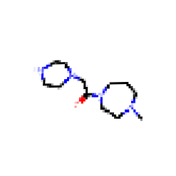 CN1CCCN(C(=O)CN2CCNCC2)CC1